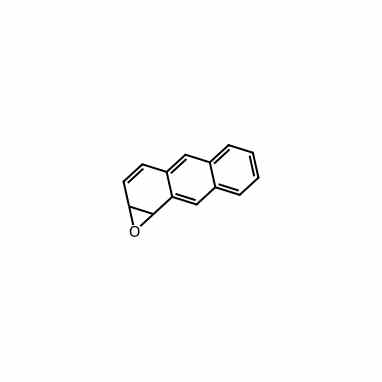 C1=CC2OC2c2cc3ccccc3cc21